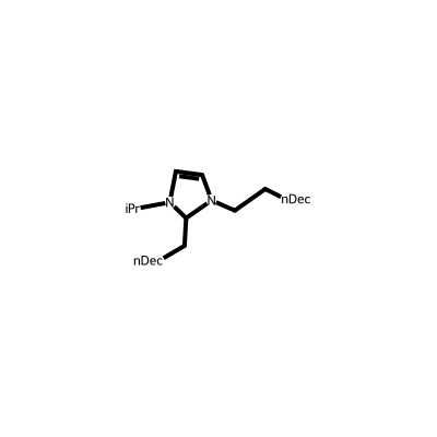 CCCCCCCCCCCCN1C=CN(C(C)C)C1CCCCCCCCCCC